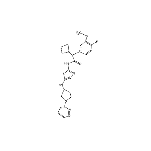 O=C(Nc1nnc(NC2CCN(c3cccnn3)C2)s1)C(c1ccc(F)c(OC(F)(F)F)c1)N1CCC1